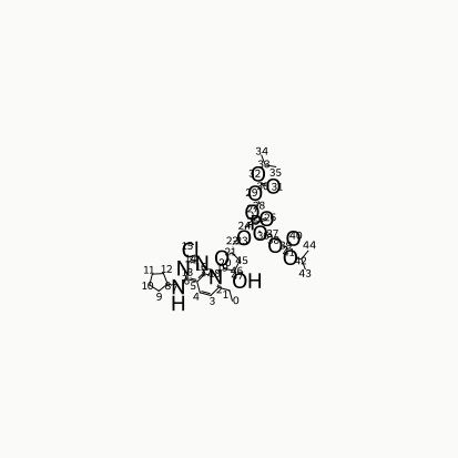 CCC1C=Cc2c(NC3CCCC3)nc(Cl)nc2N1[C@@H]1O[C@H](COCP(=O)(OCOC(=O)OC(C)C)OCOC(=O)OC(C)C)C[C@H]1O